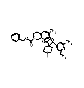 CCOC(=O)C1(C(Oc2ccc3c(c2)CN(C(=O)OCc2ccccc2)CC3)c2cc(C)nc(C)c2)CCNCC1